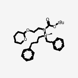 CC(C)(C)OC(=O)N(CCOC1CCCCO1)[N@@+](C)(CCCc1ccccc1)Cc1ccccc1